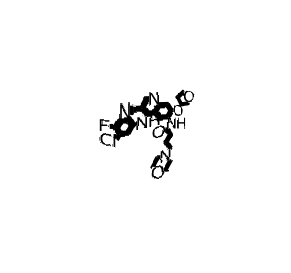 N#Cc1cnc2cc(O[C@H]3CCOC3)c(NC(=O)C=CCN3CCOCC3)cc2c1Nc1ccc(F)c(Cl)c1